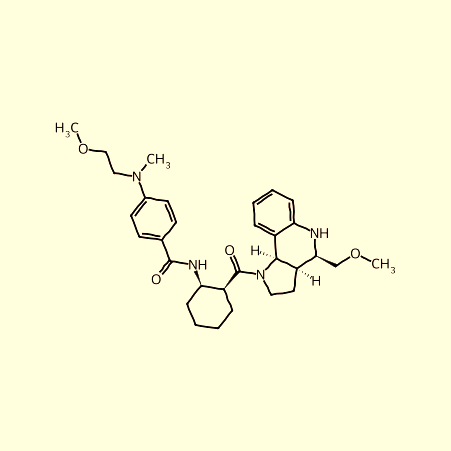 COCCN(C)c1ccc(C(=O)N[C@@H]2CCCC[C@@H]2C(=O)N2CC[C@@H]3[C@H](COC)Nc4ccccc4[C@@H]32)cc1